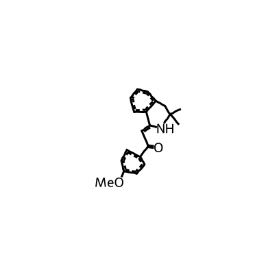 COc1ccc(C(=O)C=C2NC(C)(C)Cc3ccccc32)cc1